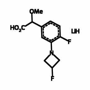 COC(C(=O)O)c1ccc(F)c(N2CC(F)C2)c1.[LiH]